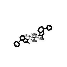 CCC[CH2][Zr]([CH2]CCC)([CH2][CH2][Zr]([CH2]CCC)([CH2]CCC)[CH]1C(C)=Cc2c(-c3ccccc3)cccc21)[CH]1C(C)=Cc2c(-c3ccccc3)cccc21